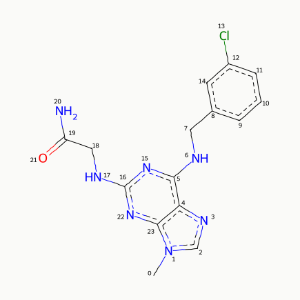 Cn1cnc2c(NCc3cccc(Cl)c3)nc(NCC(N)=O)nc21